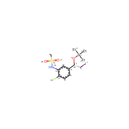 CC[Si](CC)(CC)O[C@H](CI)c1ccc(F)c(NS(C)(=O)=O)c1